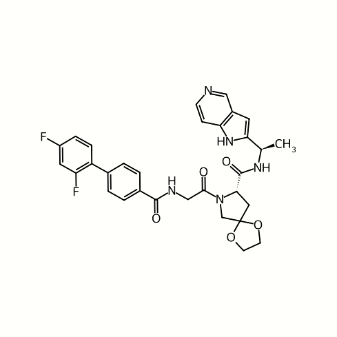 C[C@@H](NC(=O)[C@@H]1CC2(CN1C(=O)CNC(=O)c1ccc(-c3ccc(F)cc3F)cc1)OCCO2)c1cc2cnccc2[nH]1